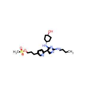 CCCCNc1ncc(-c2ccc(CCCOS(C)(=O)=O)cn2)c(N[C@H]2CC[C@H](O)CC2)n1